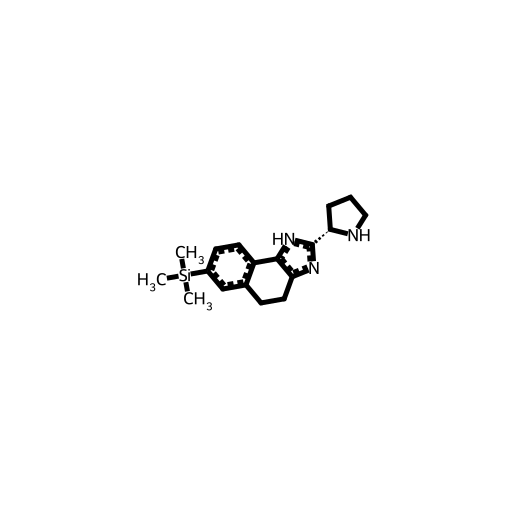 C[Si](C)(C)c1ccc2c(c1)CCc1nc([C@@H]3CCCN3)[nH]c1-2